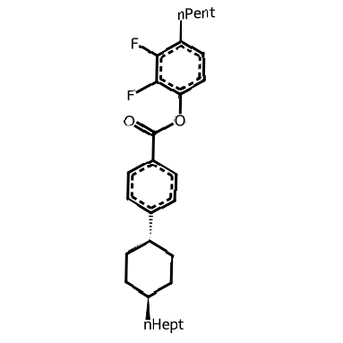 CCCCCCC[C@H]1CC[C@H](c2ccc(C(=O)Oc3ccc(CCCCC)c(F)c3F)cc2)CC1